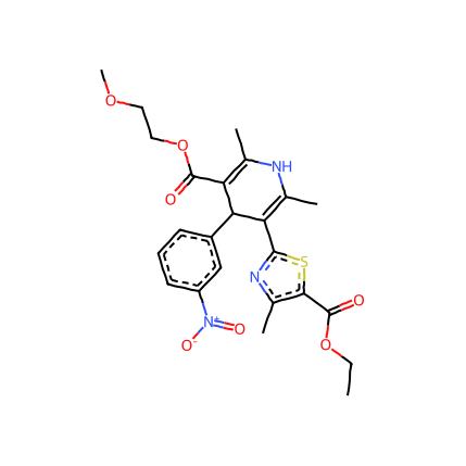 CCOC(=O)c1sc(C2=C(C)NC(C)=C(C(=O)OCCOC)C2c2cccc([N+](=O)[O-])c2)nc1C